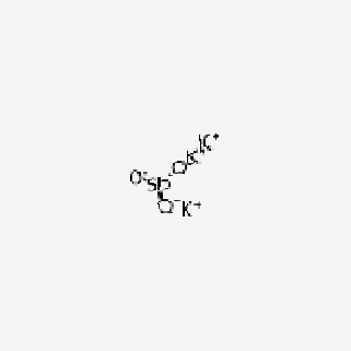 [K+].[K+].[K+].[O-][Sb]([O-])[O-]